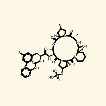 C[C@@H]1C[C@H]2C(=O)O[C@@H](C)[C@H](NC(=O)[C@H](Cc3cc(F)cc(F)c3)NC(=O)Nc3ccccn3)C(=O)N3C[C@H](OP(=O)(O)O)C[C@H]3C(=O)N3CCCC[C@H]3C(O)N[C@@H](C)C(=O)N2C1